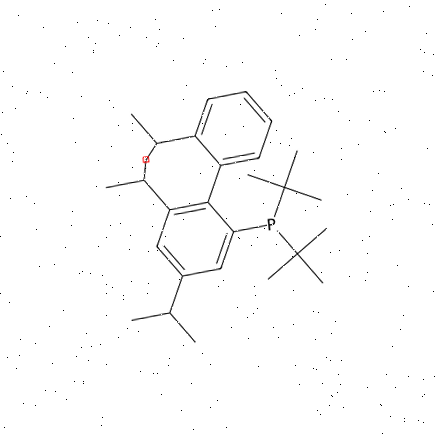 CC(C)c1cc(C(C)C)c(-c2ccccc2C(C)C)c(P(C(C)(C)C)C(C)(C)C)c1